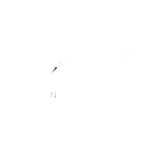 CC[C@@H]1CCCN1Cc1ccc(Br)cc1